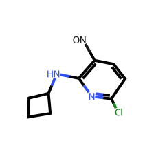 O=Nc1ccc(Cl)nc1NC1CCC1